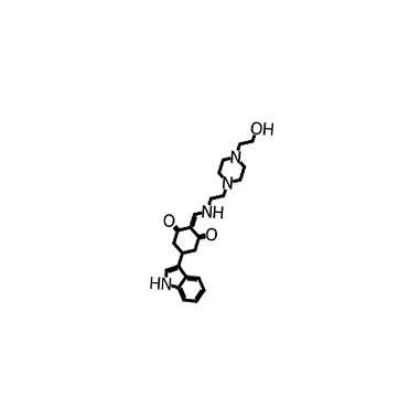 O=C1CC(c2c[nH]c3ccccc23)CC(=O)C1=CNCCN1CCN(CCO)CC1